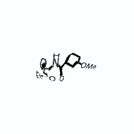 CCS(=O)(=O)NC(=O)c1cccc(OC)c1